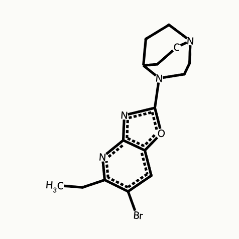 CCc1nc2nc(N3CCN4CCC3CC4)oc2cc1Br